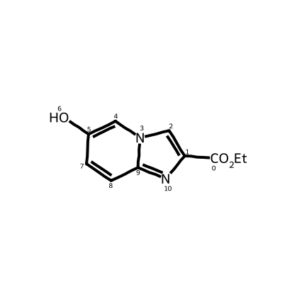 CCOC(=O)c1cn2cc(O)ccc2n1